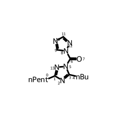 CCCCCc1nc(CCCC)n(C(=O)n2cncn2)n1